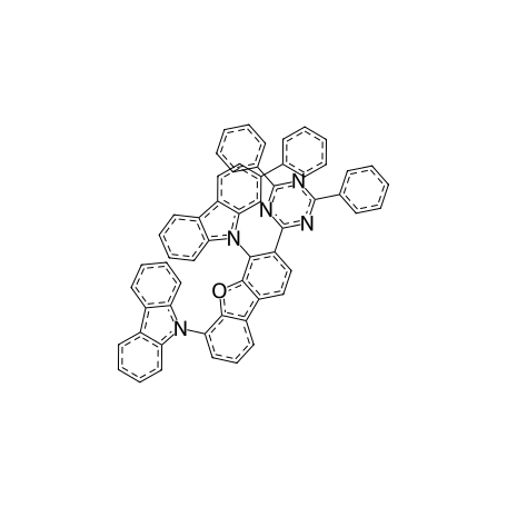 c1ccc(-c2ccc3c4ccccc4n(-c4c(-c5nc(-c6ccccc6)nc(-c6ccccc6)n5)ccc5c4oc4c(-n6c7ccccc7c7ccccc76)cccc45)c3c2)cc1